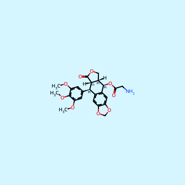 COc1cc([C@@H]2c3cc4c(cc3[C@H](OC(=O)CN)[C@H]3COC(=O)[C@@H]23)OCO4)cc(OC)c1OC